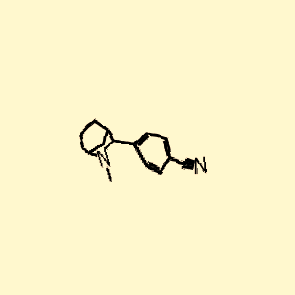 CN1C2CCC(C2)C1c1ccc(C#N)cc1